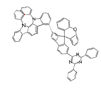 c1ccc(-c2nc(-c3ccccc3)nc(-c3ccc4c(c3)C3(c5ccccc5Oc5ccccc53)c3cc(-c5cccc6c5c5ccc7c8ccccc8n(-c8ccccc8)c7c5n6-c5ccccc5)ccc3-4)n2)cc1